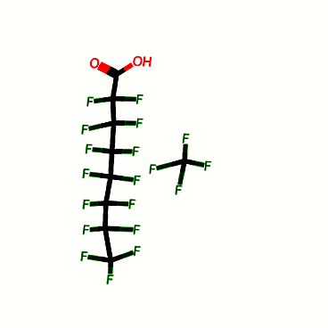 FC(F)(F)F.O=C(O)C(F)(F)C(F)(F)C(F)(F)C(F)(F)C(F)(F)C(F)(F)C(F)(F)F